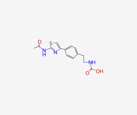 CC(=O)Nc1nc(-c2ccc(CCNC(=O)O)cc2)cs1